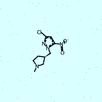 CN1CC[C@@H](Cn2nc(Cl)cc2[N+](=O)[O-])C1